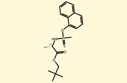 C[C@H](NP(C)(=S)Oc1cccc2ccccc12)C(=O)OCC(C)(C)C